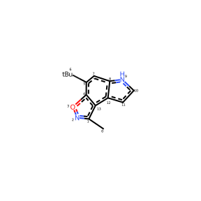 Cc1noc2c(C(C)(C)C)cc3[nH]ccc3c12